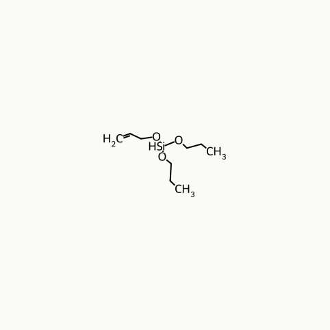 C=CCO[SiH](OCCC)OCCC